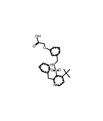 CC(C)(C)c1ccnc(Cc2ccccc2)c1S(=O)(=O)NCc1cccc(OCC(=O)O)c1